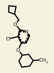 CC1CCCC(Oc2ccnc(OCC3CCC3)c2Cl)C1